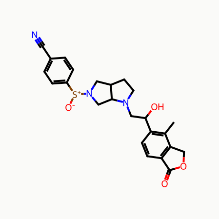 Cc1c(C(O)CN2CCC3CN([S+]([O-])c4ccc(C#N)cc4)CC32)ccc2c1COC2=O